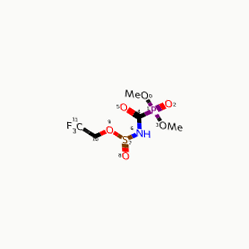 COP(=O)(OC)C(=O)NS(=O)OCC(F)(F)F